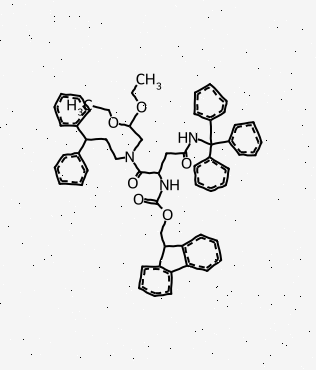 CCOC(CN(CCC(c1ccccc1)c1ccccc1)C(=O)C(CC(=O)NC(c1ccccc1)(c1ccccc1)c1ccccc1)NC(=O)OCC1c2ccccc2-c2ccccc21)OCC